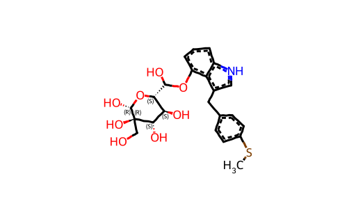 CSc1ccc(Cc2c[nH]c3cccc(OC(O)[C@H]4O[C@@H](O)[C@@](O)(CO)[C@@H](O)[C@@H]4O)c23)cc1